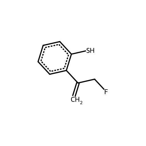 C=C(CF)c1ccccc1S